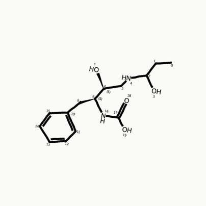 CCC(O)NC[C@H](O)[C@H](Cc1ccccc1)NC(=O)O